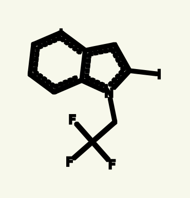 FC(F)(F)Cn1c(I)cc2[c]cccc21